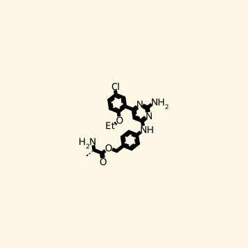 CCOc1ccc(Cl)cc1-c1cc(Nc2ccc(COC(=O)[C@H](C)N)cc2)nc(N)n1